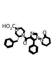 O=C(O)N1CCN(C(=O)c2ncn(N3CCCCC3=O)c2-c2ccccc2)[C@H](Cc2ccccc2)C1